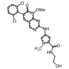 COn1c(=O)c(-c2c(Cl)cccc2Cl)cc2cnc(Nc3cc(C(=O)NCCO)n(C)c3)nc21